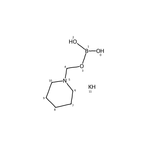 OB(O)OCN1CCCCC1.[KH]